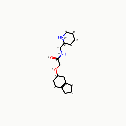 O=C(COC1CCC2=C(CCC2)C1)NCC1CCCCN1